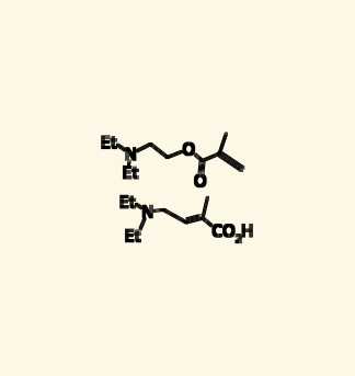 C=C(C)C(=O)OCCN(CC)CC.CCN(CC)CC=C(C)C(=O)O